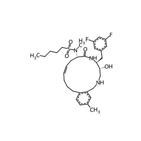 CCCCCS(=O)(=O)N(C)[C@H]1CC=CCCCc2ccc(C)cc2CNC[C@@H](O)[C@H](Cc2cc(F)cc(F)c2)NC1=O